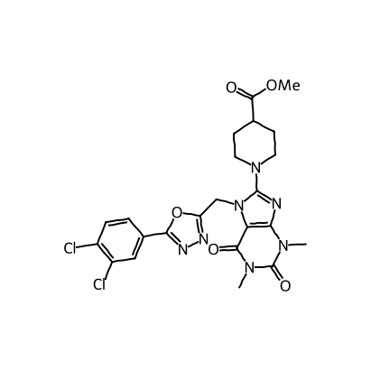 COC(=O)C1CCN(c2nc3c(c(=O)n(C)c(=O)n3C)n2Cc2nnc(-c3ccc(Cl)c(Cl)c3)o2)CC1